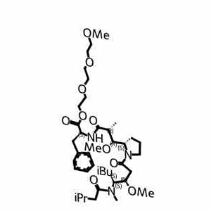 CC[C@H](C)[C@@H]([C@@H](CC(=O)N1CCC[C@H]1[C@H](OC)[C@@H](C)C(=O)N[C@@H](Cc1ccccc1)C(=O)OCCOCCOCCOC)OC)N(C)C(=O)CC(C)C